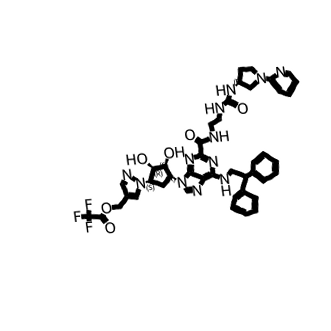 O=C(NCCNC(=O)c1nc(NCC(c2ccccc2)c2ccccc2)c2ncn([C@@H]3C[C@H](n4cc(COC(=O)C(F)(F)F)cn4)[C@@H](O)[C@H]3O)c2n1)N[C@@H]1CCN(c2ccccn2)C1